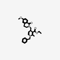 CCOC(=O)C1=C(C)N(Cc2ccccc2)C=CC1CN1CCc2cc(OC)ccc2C1=O